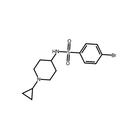 O=S(=O)(NC1CCN(C2CC2)CC1)c1ccc(Br)cc1